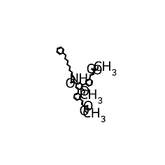 COC(=O)C=Cc1cccc(-c2cc(C(=O)NCCCCCCCCc3ccccc3)cc(-c3cccc(C=CC(=O)OC)c3)c2OC)c1